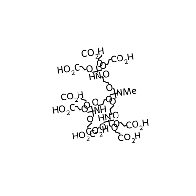 CNC(COCCC(=O)NC(COCCC(=O)O)(COCCC(=O)O)COCCC(=O)O)(COCCC(=O)NC(COCCC(=O)O)(COCCC(=O)O)COCCC(=O)O)COCCC(=O)NC(COCCC(=O)O)(COCCC(=O)O)COCCC(=O)O